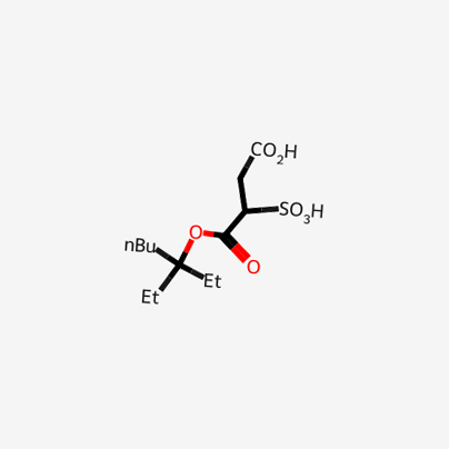 CCCCC(CC)(CC)OC(=O)C(CC(=O)O)S(=O)(=O)O